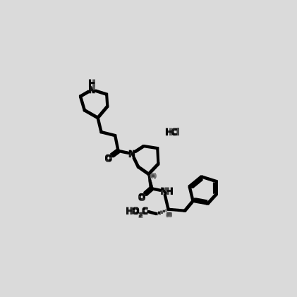 Cl.O=C(O)C[C@@H](Cc1ccccc1)NC(=O)[C@@H]1CCCN(C(=O)CCC2CCNCC2)C1